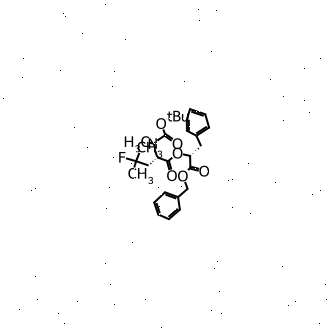 CN(C(=O)OC(C)(C)C)[C@@H](CC(C)(C)F)C(=O)O[C@H](Cc1ccccc1)C(=O)OCc1ccccc1